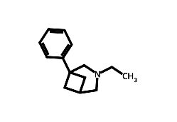 CCN1CC2CC(c3ccccc3)(C2)C1